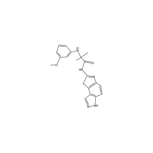 COc1cccc(NC(C)(C)C(=O)Nc2nc3ccc4[nH]ncc4c3s2)c1